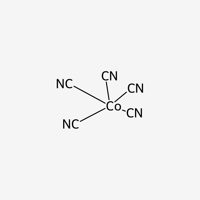 N#[C][Co]([C]#N)([C]#N)([C]#N)[C]#N